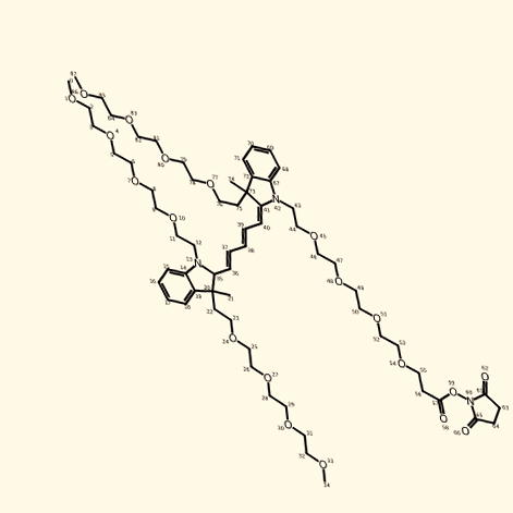 COCCOCCOCCOCCN1c2ccccc2C(C)(CCOCCOCCOCCOC)C1/C=C/C=C/C=C1/N(CCOCCOCCOCCOCCC(=O)ON2C(=O)CCC2=O)c2ccccc2C1(C)CCOCCOCCOCCOC